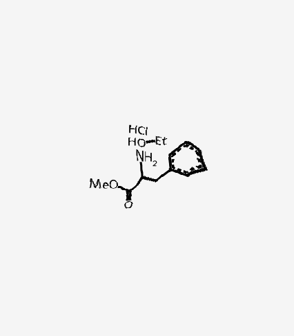 CCO.COC(=O)C(N)Cc1ccccc1.Cl